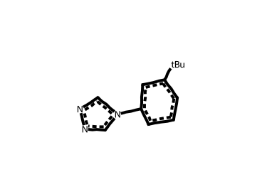 CC(C)(C)c1cccc(-n2cnnc2)c1